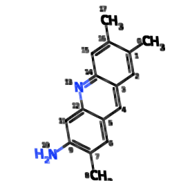 Cc1cc2cc3cc(C)c(N)cc3nc2cc1C